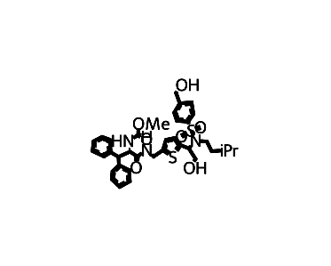 COC(=O)N[C@H](C(=O)NCc1ccc(C(CO)N(CCC(C)C)S(=O)(=O)c2ccc(CO)cc2)s1)C(c1ccccc1)c1ccccc1